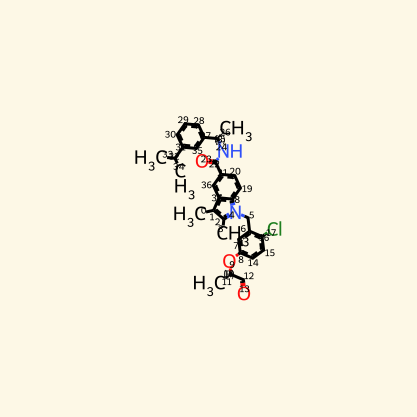 Cc1c(C)n(Cc2cc(O[C@H](C)C=O)ccc2Cl)c2ccc(C(=O)N[C@@H](C)c3cccc(C(C)C)c3)cc12